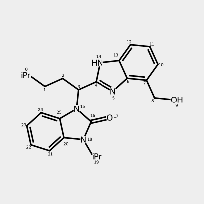 CC(C)CCC(c1nc2c(CO)cccc2[nH]1)n1c(=O)n(C(C)C)c2ccccc21